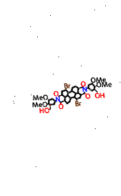 COc1cc(N2C(=O)c3ccc4c5c(Br)cc6c7c(ccc(c8c(Br)cc(c3c48)C2=O)c75)C(=O)N(c2cc(CO)c(OC)c(OC)c2)C6=O)cc(CO)c1OC